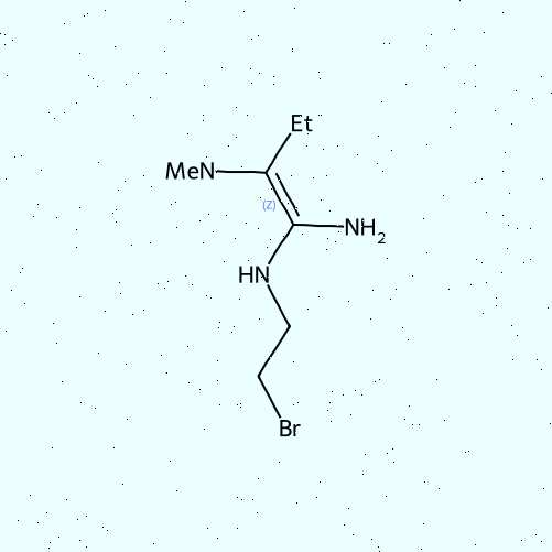 CC/C(NC)=C(\N)NCCBr